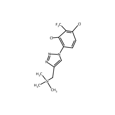 C[Si](C)(C)Cc1cn(-c2ccc(Cl)c(C(F)(F)F)c2Cl)nn1